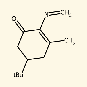 C=NC1=C(C)CC(C(C)(C)C)CC1=O